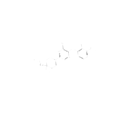 CC1(NC(=O)O)CCN(c2cnc(Sc3ccnc(N)c3Cl)c(N)n2)CC1